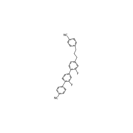 N#Cc1ccc(CCCc2ccc(-c3ccc(-c4ccc(C#N)cc4)c(F)c3)c(F)c2)cc1